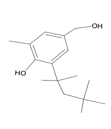 Cc1cc(CO)cc(C(C)(C)CC(C)(C)C)c1O